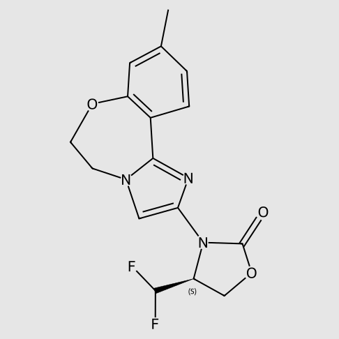 Cc1ccc2c(c1)OCCn1cc(N3C(=O)OC[C@H]3C(F)F)nc1-2